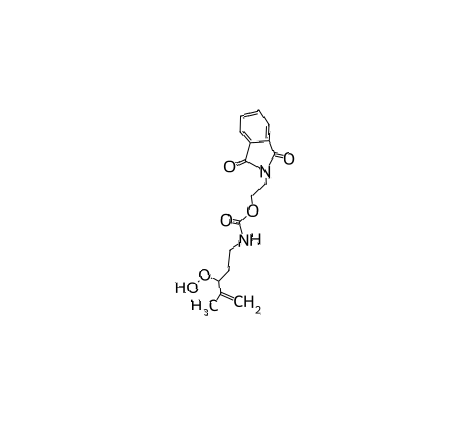 C=C(C)C(CCNC(=O)OCCN1C(=O)c2ccccc2C1=O)OO